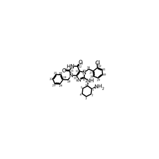 N[C@H]1CCCC[C@H]1Nc1nc2c(c(=O)[nH]c(=O)n2Cc2ccccc2)n1Cc1ccccc1Cl